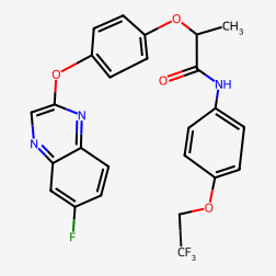 CC(Oc1ccc(Oc2cnc3cc(F)ccc3n2)cc1)C(=O)Nc1ccc(OCC(F)(F)F)cc1